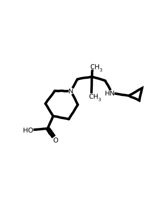 CC(C)(CNC1CC1)CN1CCC(C(=O)O)CC1